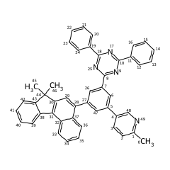 Cc1ccc(-c2cc(-c3nc(-c4ccccc4)nc(-c4ccccc4)n3)cc(-c3cc4c(c5ccccc35)-c3ccccc3C4(C)C)c2)cn1